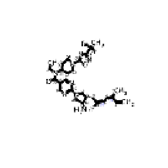 C=C/C(C)=C\C=C(\F)C[C@H]1CN(c2ncc(C(=O)N(CC)C3CCN(c4nc(C(C)(F)F)no4)CC3)cn2)C[C@@H]1N